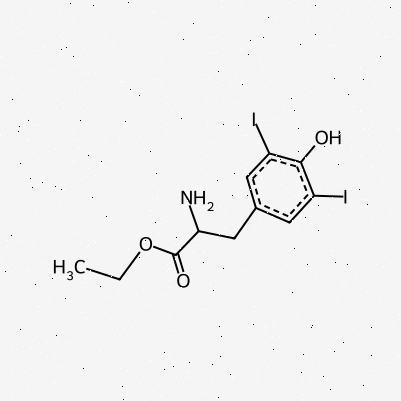 CCOC(=O)C(N)Cc1cc(I)c(O)c(I)c1